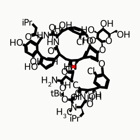 CC(C)CC(=O)[C@H]1NC(=O)[C@H]2NC(=O)[C@H](CC(=O)[C@@H]3NC(=O)[C@H](CC(N)=O)CC(=O)[C@H](NC(=O)[C@@H](CC(C)C)N(C)C(=O)OC(C)(C)C)[C@H](O)c4ccc(c(Cl)c4)Oc4cc3cc(c4O[C@@H]3O[C@H](CO)[C@@H](O)[C@H](O)[C@H]3O)Oc3ccc(cc3Cl)[C@H]2O)c2ccc(O)c(c2)-c2c(O)cc(O)cc21